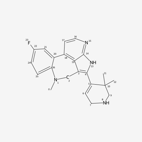 CN1Cc2c(C3=CCNCC3(C)C)[nH]c3nccc(c23)-c2cc(F)ccc21